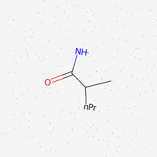 CCCC(C)C([NH])=O